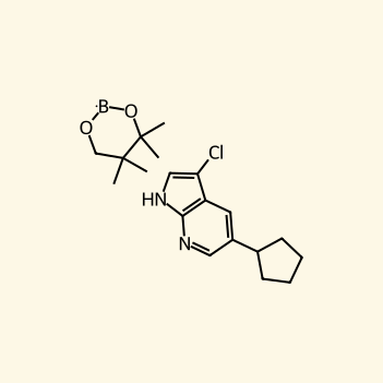 CC1(C)CO[B]OC1(C)C.Clc1c[nH]c2ncc(C3CCCC3)cc12